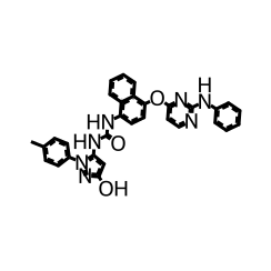 Cc1ccc(-n2nc(O)cc2NC(=O)Nc2ccc(Oc3ccnc(Nc4ccccc4)n3)c3ccccc23)cc1